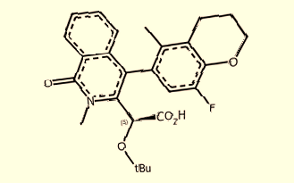 Cc1c(-c2c([C@H](OC(C)(C)C)C(=O)O)n(C)c(=O)c3ccccc23)cc(F)c2c1CCCO2